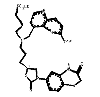 CCOC(=O)CCCN(CCC[C@H]1CN(c2ccc3c(c2)NC(=O)CS3)C(=O)O1)Cc1ccnc2ccc(OC)nc12